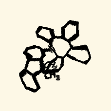 CC1(C)c2ccccc2-c2cccc(-n3c4ccccc4c4ccccc4c4ccccc4c4ccccc43)c21